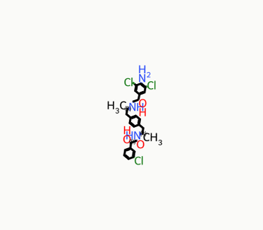 C[C@H](Cc1ccc(C[C@@H](C)NC(=O)[C@H](O)c2cccc(Cl)c2)cc1)NCC(O)c1cc(Cl)c(N)c(Cl)c1